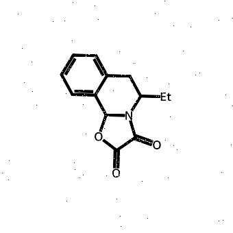 CCC1Cc2ccccc2C2OC(=O)C(=O)N12